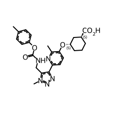 Cc1ccc(OC(=O)NCc2c(-c3ccc(O[C@H]4CCC[C@H](C(=O)O)C4)c(C)n3)nnn2C)cc1